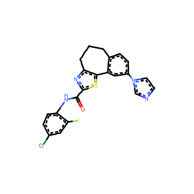 O=C(Nc1ccc(Cl)cc1F)c1nc2c(s1)-c1cc(-n3ccnc3)ccc1CCC2